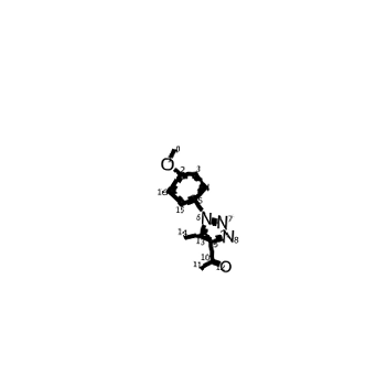 COc1ccc(-n2nnc(C(C)=O)c2C)cc1